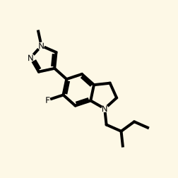 CCC(C)CN1CCc2cc(-c3cnn(C)c3)c(F)cc21